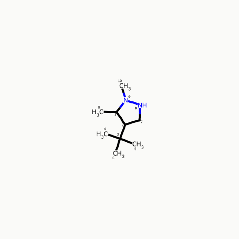 CC1C(C(C)(C)C)CNN1C